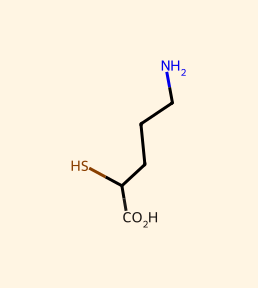 NCCCC(S)C(=O)O